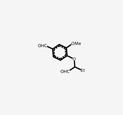 CCC([C]=O)Oc1ccc(C=O)cc1OC